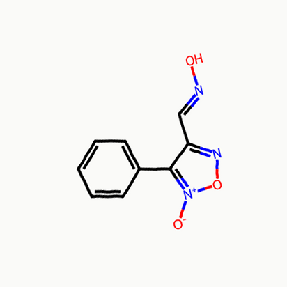 [O-][n+]1onc(/C=N/O)c1-c1ccccc1